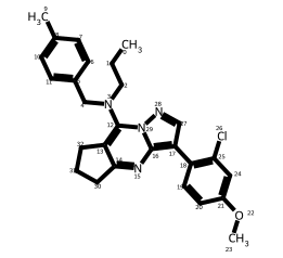 CCCN(Cc1ccc(C)cc1)c1c2c(nc3c(-c4ccc(OC)cc4Cl)cnn13)CCC2